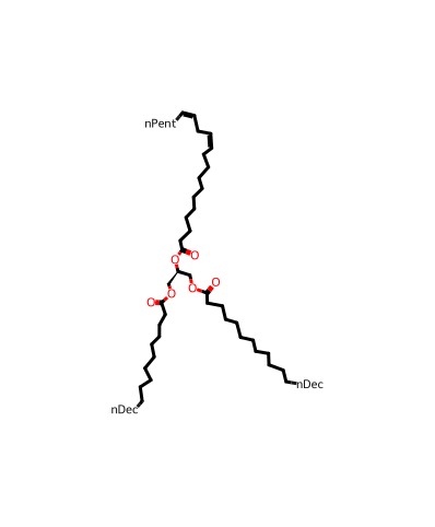 CCCCC/C=C\C/C=C\CCCCCCCCCC(=O)O[C@H](COC(=O)CCCCCCCCCCCCCCCCCCC)COC(=O)CCCCCCCCCCCCCCCCCCCCC